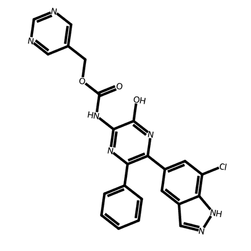 O=C(Nc1nc(-c2ccccc2)c(-c2cc(Cl)c3[nH]ncc3c2)nc1O)OCc1cncnc1